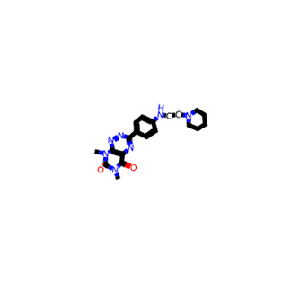 Cn1c(=O)c2nc(-c3ccc(NCCN4CCCCC4)cc3)nnc2n(C)c1=O